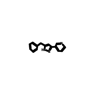 c1ccc(Cc2cc(-c3cccnc3)n[nH]2)cc1